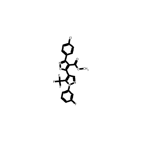 COC(=O)c1c(-c2ccc(Cl)cc2)noc1-c1cnn(-c2cccc(F)c2)c1C(F)(F)F